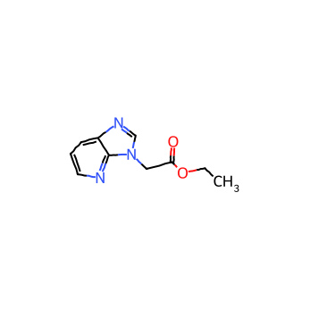 CCOC(=O)Cn1cnc2cccnc21